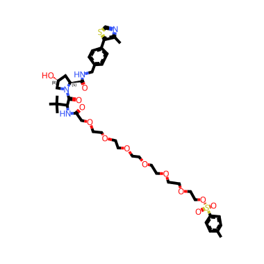 Cc1ccc(S(=O)(=O)OCCOCCOCCOCCOCCOCCOCC(=O)NC(C(=O)N2C[C@H](O)C[C@H]2C(=O)NCc2ccc(-c3scnc3C)cc2)C(C)(C)C)cc1